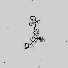 CCCNc1nc(Nc2cccc(F)c2)ncc1-c1cc(CCN2C(=O)c3ccccc3C2=O)no1